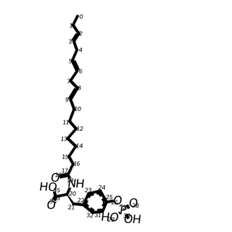 CCC=CCC=CCC=CCCCCCCCC(=O)N[C@@H](Cc1ccc(OP(=O)(O)O)cc1)C(=O)O